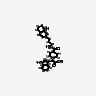 O=C(NCCCc1ccc2c(n1)NCCC2)C1CCN(C(C(=O)O)c2c[nH]c3ccccc23)CC1